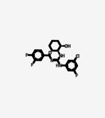 O=C(/N=C(/Nc1cc(F)cc(Cl)c1)N[C@H]1CCCC[C@H]1O)c1ccc(F)c(F)c1